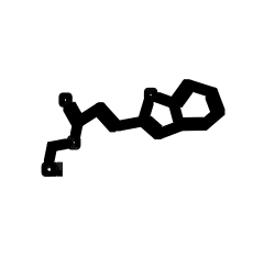 N#CCOC(=O)C=Cc1cc2ccccc2o1